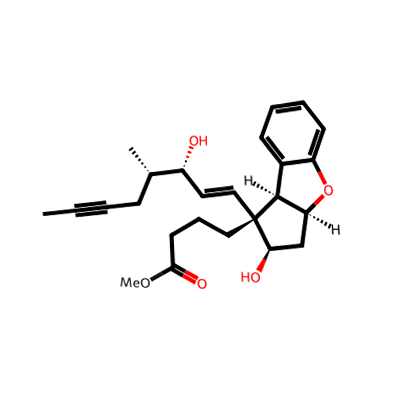 CC#CC[C@H](C)[C@H](O)/C=C/[C@@]1(CCCC(=O)OC)[C@H](O)C[C@@H]2Oc3ccccc3[C@@H]21